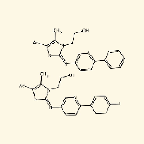 CC(=O)c1sc(=Nc2ccc(-c3ccc(F)cc3)nc2)n(CCO)c1C.CC(=O)c1sc(=Nc2ccc(-c3ccccc3)nc2)n(CCO)c1C